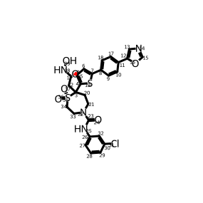 O=C(CC1(c2ccc(-c3ccc(-c4cnco4)cc3)s2)CCN(C(=O)Nc2cccc(Cl)c2)CCS1(=O)=O)NO